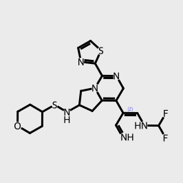 N=C/C(=C\NC(F)F)C1=C2CC(NSC3CCOCC3)CN2C(c2nccs2)=NC1